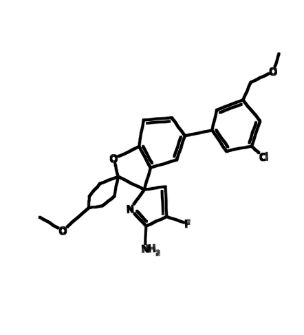 COCc1cc(Cl)cc(-c2ccc3c(c2)C2(C=C(F)C(N)=N2)C2(CCC(OC)CC2)O3)c1